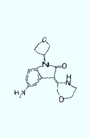 Nc1ccc2c(c1)/C(=C1\COCCN1)C(=O)N2C1CCOC1